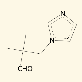 CC(C)(C=O)Cn1ccnc1